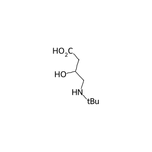 CC(C)(C)NCC(O)CC(=O)O